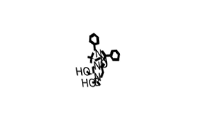 CB(O)N1CCC(=O)N([C@@H](c2nc(-c3ccccc3)cn2Cc2ccccc2)C(C)(C)C)C[C@H]1CO